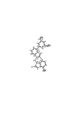 CC1=Cc2c(Br)cccc2C1CC1C(C)=Cc2c(-c3cc(C(C)C)cc(C(C)C)c3)cccc21